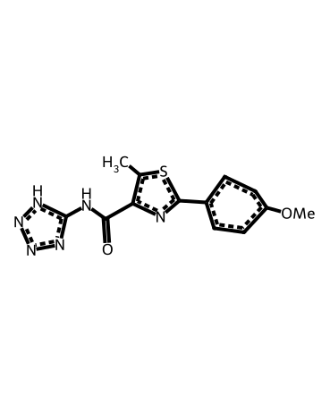 COc1ccc(-c2nc(C(=O)Nc3nnn[nH]3)c(C)s2)cc1